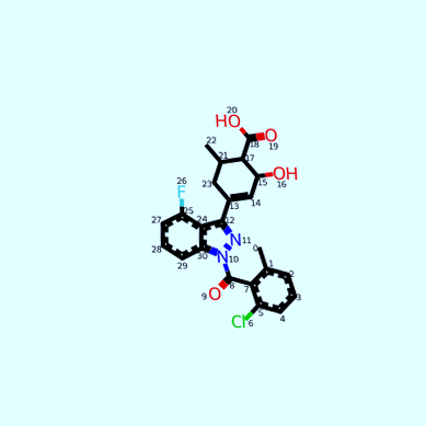 Cc1cccc(Cl)c1C(=O)n1nc(C2=CC(O)C(C(=O)O)C(C)C2)c2c(F)cccc21